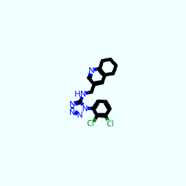 Clc1cccc(-n2nnnc2NCc2cnc3c(c2)CCCC3)c1Cl